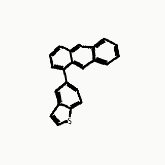 c1ccc2cc3c(-c4ccc5sccc5c4)cccc3cc2c1